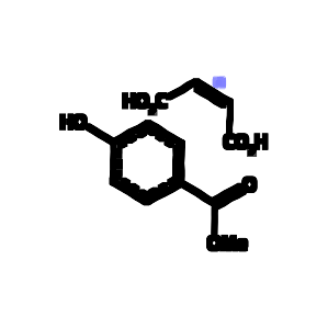 COC(=O)c1ccc(O)cc1.O=C(O)/C=C\C(=O)O